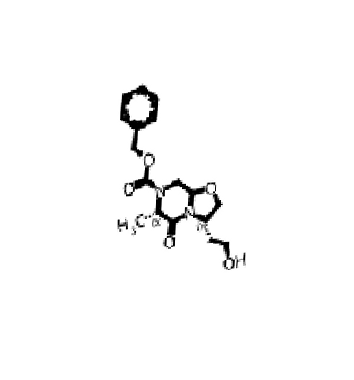 C[C@H]1C(=O)N2C(CN1C(=O)OCc1ccccc1)OC[C@@H]2CCO